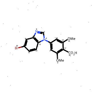 COc1cc(-n2cnc3cc(Br)ccc32)cc(OC)c1C(=O)O